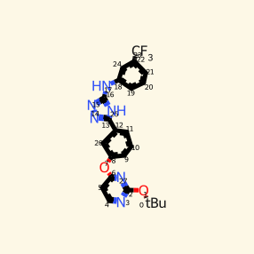 CC(C)(C)Oc1nccc(Oc2cccc(-c3nnc(Nc4cccc(C(F)(F)F)c4)[nH]3)c2)n1